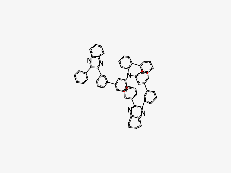 c1ccc(-c2ccccc2N(c2cccc(-c3cccc(-c4nc5ccccc5nc4-c4ccccc4)c3)c2)c2cccc(-c3cccc(-c4nc5ccccc5nc4-c4ccccc4)c3)c2)cc1